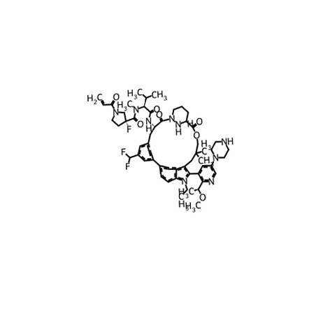 C=CC(=O)N1CC[C@](F)(C(=O)N(C)[C@H](C(=O)N[C@H]2Cc3cc(cc(C(F)F)c3)-c3ccc4c(c3)c(c(-c3cc(N5CCNCC5)cnc3[C@H](C)OC)n4CC)CC(C)(C)COC(=O)[C@@H]3CCCN(N3)C2=O)C(C)C)C1